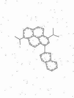 CC(C)c1ccc2ccc3c(C(C)C)cc(-c4ccc5ccccc5c4)c4ccc1c2c43